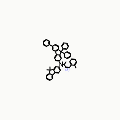 Cc1ccccc1/C=C\C(C)N(c1ccc2c(c1)C(C)(C)c1ccccc1-2)c1ccc2c(c1)C(c1ccccc1)(c1ccccc1)c1ccc(-c3ccccc3)cc1-2